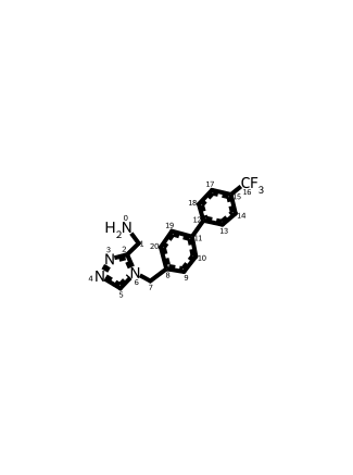 NCc1nncn1Cc1ccc(-c2ccc(C(F)(F)F)cc2)cc1